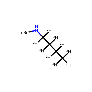 [2H]C([2H])([2H])C([2H])([2H])C([2H])([2H])C([2H])([2H])NCCCC